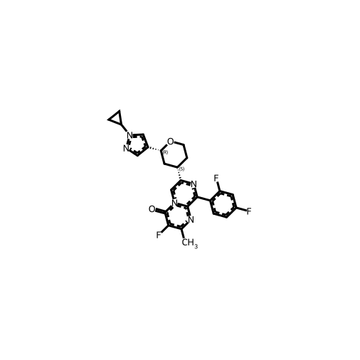 Cc1nc2c(-c3ccc(F)cc3F)nc([C@H]3CCO[C@@H](c4cnn(C5CC5)c4)C3)cn2c(=O)c1F